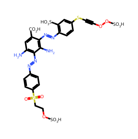 Nc1cc(C(=O)O)c(N=Nc2ccc(SC#COOS(=O)(=O)O)cc2S(=O)(=O)O)c(N)c1N=Nc1ccc(S(=O)(=O)CCOS(=O)(=O)O)cc1